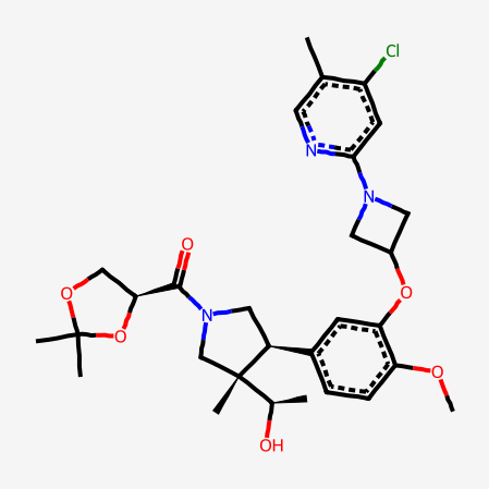 COc1ccc([C@@H]2CN(C(=O)[C@@H]3COC(C)(C)O3)C[C@@]2(C)[C@@H](C)O)cc1OC1CN(c2cc(Cl)c(C)cn2)C1